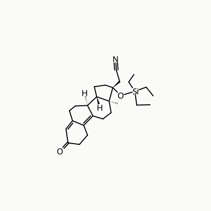 CC[Si](CC)(CC)O[C@@]1(CC#N)CC[C@H]2[C@@H]3CCC4=CC(=O)CCC4=C3CC[C@@]21C